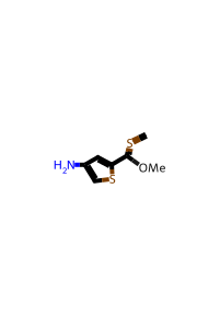 C=S=C(OC)c1cc(N)cs1